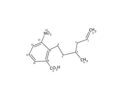 C=CCC(C)CCc1c(C(=O)O)cccc1[N+](=O)[O-]